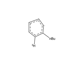 [3H]c1ccc[c]c1CCCC